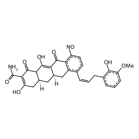 COc1cccc(C/C=C\c2ccc(N=O)c3c2C[C@H]2C[C@H]4CC(O)=C(C(N)=O)C(=O)C4C(O)=C2C3=O)c1O